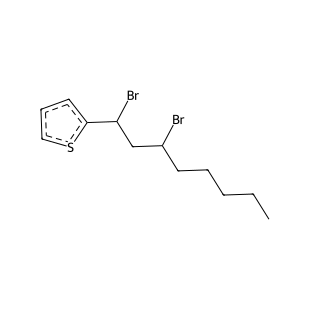 CCCCCC(Br)CC(Br)c1cccs1